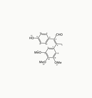 COc1cc(C(C)=C(C=O)c2ccc(O)cc2)cc(OC)c1OC